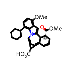 COC(=O)[C@@H]1CC=CC2=C3C(=Cn4c(cc5c(OC)ccc(C6CCCCC6)c54)C21)C3C(=O)O